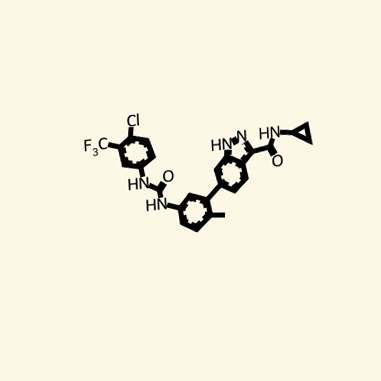 Cc1ccc(NC(=O)Nc2ccc(Cl)c(C(F)(F)F)c2)cc1-c1ccc2c(C(=O)NC3CC3)n[nH]c2c1